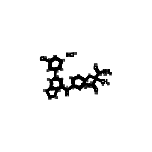 CC(Cc1ccc(Nc2cc(-c3cccc(Cl)c3)nc3c2CCC3)cc1)(C(N)=O)C(N)=O.Cl